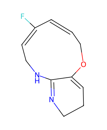 FC1=C/CNC2=NCCC=C2OC/C=C\1